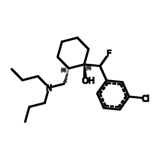 CCCN(CCC)C[C@@H]1CCCC[C@]1(O)C(F)c1cccc(Cl)c1